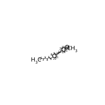 CCCCC/C=C/c1ccc(C#Cc2ccc(OC)cc2)cc1